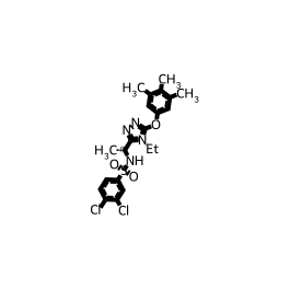 CCn1c(Oc2cc(C)c(C)c(C)c2)nnc1[C@@H](C)NS(=O)(=O)c1ccc(Cl)c(Cl)c1